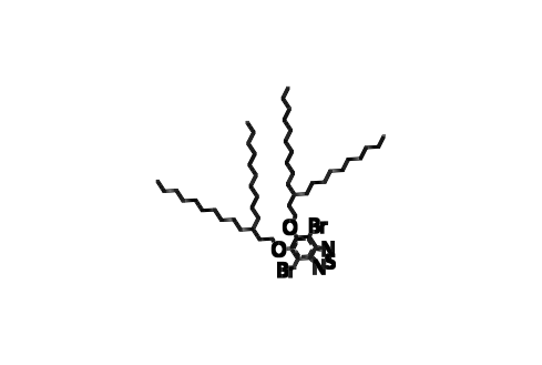 CCCCCCCCCCC(CCCCCCCCCC)CCOc1c(OCCC(CCCCCCCCCC)CCCCCCCCCC)c(Br)c2nsnc2c1Br